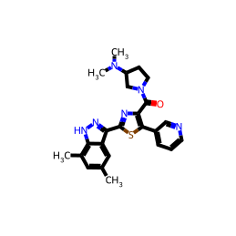 Cc1cc(C)c2[nH]nc(-c3nc(C(=O)N4CCC(N(C)C)C4)c(-c4cccnc4)s3)c2c1